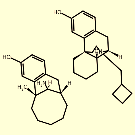 C[C@@]12CCCCC[C@@H](Cc3ccc(O)cc31)[C@@H]2N.Oc1ccc2c(c1)[C@@]13CCCC[C@@]1(O)[C@@H](C2)N(CC1CCC1)CC3